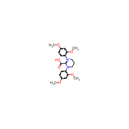 COc1ccc(N2CCC[N+](c3ccc(OC)cc3OC)=C2C(=O)O)c(OC)c1